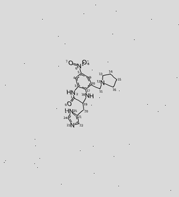 O=C1Nc2cc([N+](=O)[O-])cc(CN3CCCC3)c2NC1Cc1cnc[nH]1